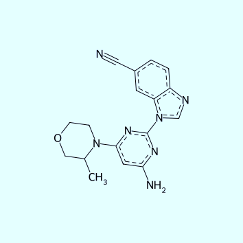 CC1COCCN1c1cc(N)nc(-n2cnc3ccc(C#N)cc32)n1